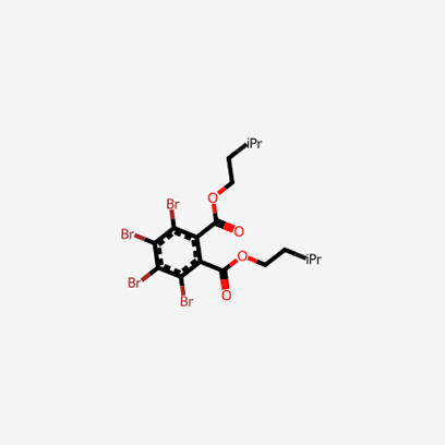 CC(C)CCOC(=O)c1c(Br)c(Br)c(Br)c(Br)c1C(=O)OCCC(C)C